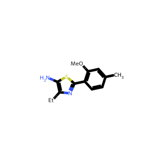 CCc1nc(-c2ccc(C)cc2OC)sc1N